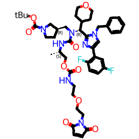 C[C@@H](COC(=O)NCCOCCN1C(=O)C=CC1=O)NC(=O)N(C[C@H]1CCN(C(=O)OC(C)(C)C)C1)[C@@H](c1nc(-c2cc(F)ccc2F)cn1Cc1ccccc1)C1CCOCC1